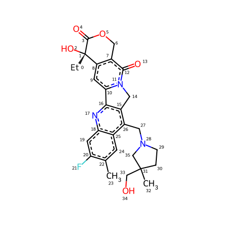 CC[C@@]1(O)C(=O)OCc2c1cc1n(c2=O)Cc2c-1nc1cc(F)c(C)cc1c2CN1CCC(C)(CO)C1